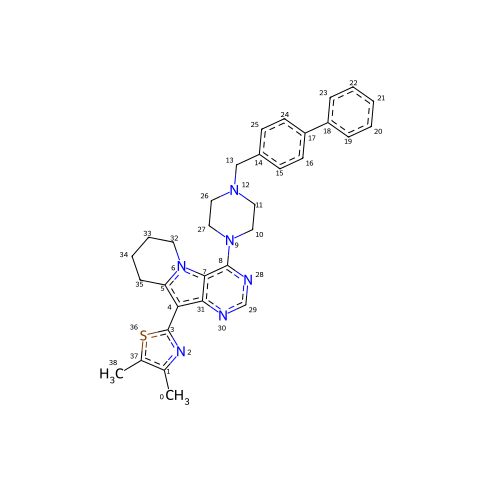 Cc1nc(-c2c3n(c4c(N5CCN(Cc6ccc(-c7ccccc7)cc6)CC5)ncnc24)CCCC3)sc1C